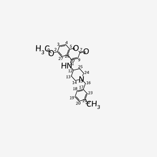 COc1ccc2oc(=O)cc(NC3CCN(Cc4cccc(C)c4)CC3)c2c1